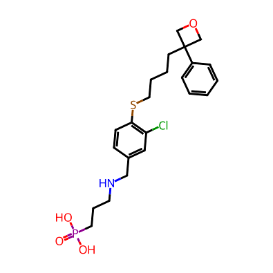 O=P(O)(O)CCCNCc1ccc(SCCCCC2(c3ccccc3)COC2)c(Cl)c1